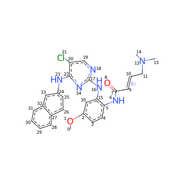 COc1ccc(NC(=O)/C=C/CN(C)C)c(Nc2ncc(Cl)c(Nc3ccc4ccccc4c3)n2)c1